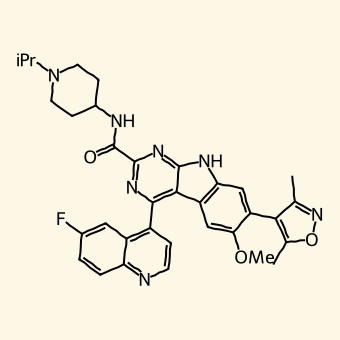 COc1cc2c(cc1-c1c(C)noc1C)[nH]c1nc(C(=O)NC3CCN(C(C)C)CC3)nc(-c3ccnc4ccc(F)cc34)c12